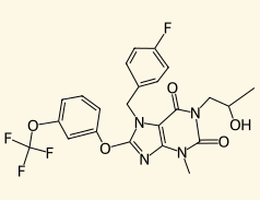 CC(O)Cn1c(=O)c2c(nc(Oc3cccc(OC(F)(F)F)c3)n2Cc2ccc(F)cc2)n(C)c1=O